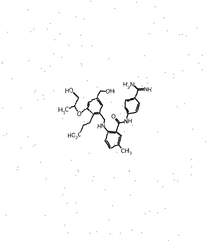 Cc1ccc(NCc2cc(CO)cc(OC(C)CO)c2CCC(=O)O)c(C(=O)Nc2ccc(C(=N)N)cc2)c1